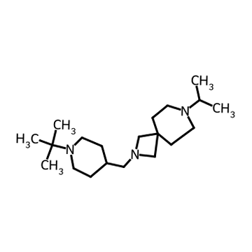 CC(C)N1CCC2(CC1)CN(CC1CCN(C(C)(C)C)CC1)C2